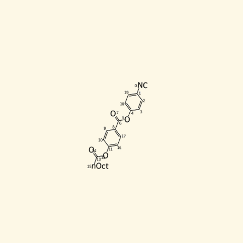 [C-]#[N+]c1ccc(OC(=O)c2ccc(OC(=O)CCCCCCCC)cc2)cc1